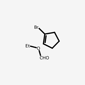 BrC1=CCCC1.CCOC=O